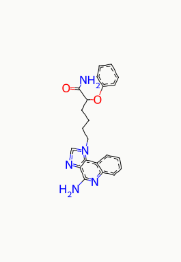 NC(=O)C(CCCCn1cnc2c(N)nc3ccccc3c21)Oc1ccccc1